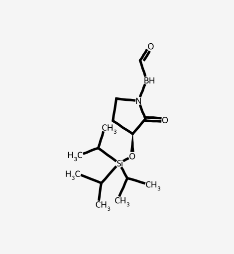 CC(C)[Si](O[C@H]1CCN(BC=O)C1=O)(C(C)C)C(C)C